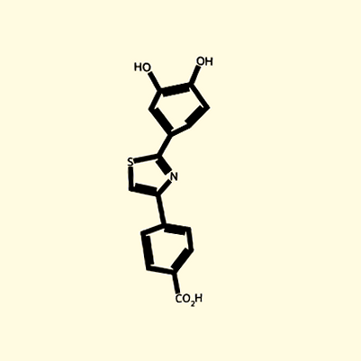 O=C(O)c1ccc(-c2csc(-c3ccc(O)c(O)c3)n2)cc1